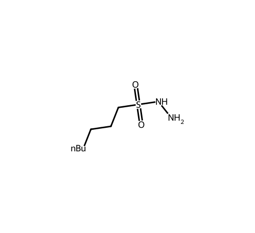 CCCCCCCS(=O)(=O)NN